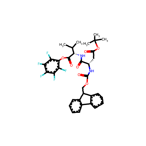 CC(C)[C@H](NC(=O)[C@H](CC(=O)OC(C)(C)C)NC(=O)OCC1c2ccccc2-c2ccccc21)C(=O)Oc1c(F)c(F)c(F)c(F)c1F